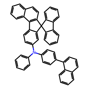 c1ccc(N(c2ccc(-c3cccc4ccccc34)cc2)c2ccc3c(c2)C2(c4ccccc4-c4ccccc42)c2ccc4ccccc4c2-3)cc1